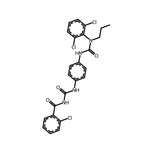 CCCN(C(=O)Nc1ccc(NC(=O)NC(=O)c2ccccc2Cl)cc1)c1c(Cl)cccc1Cl